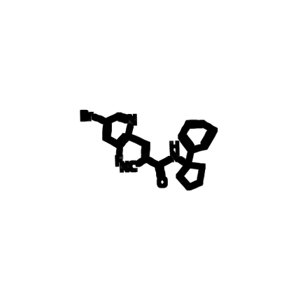 N#CC(=Cc1ncc(Br)cc1F)C(=O)NC1(c2ccccc2)CCCC1